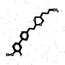 C=CCCC1COC(CCc2ccc(-c3ccc(OCC)c(F)c3)cc2)OC1